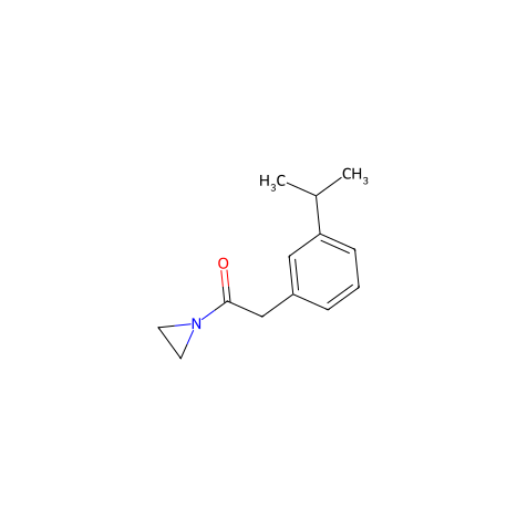 CC(C)c1cccc(CC(=O)N2CC2)c1